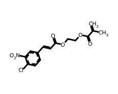 C=C(C)C(=O)OCCOC(=O)/C=C/c1ccc(Cl)c([N+](=O)[O-])c1